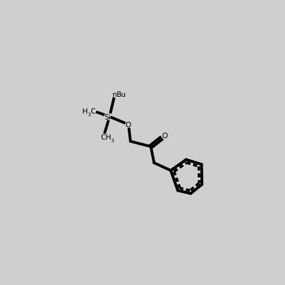 CCCC[Si](C)(C)OCC(=O)Cc1ccccc1